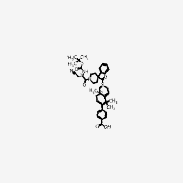 CC(C)(C)OC(=O)N[C@@H](CC#N)C(=O)N1CCC(C(=O)N2CC=C3C(C)(C)C(c4ccc(C(=O)O)cc4)=CC[C@]3(C)C2)(c2ccccc2)CC1